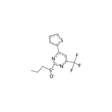 CCC[S+]([O-])c1nc(-c2cccs2)cc(C(F)(F)F)n1